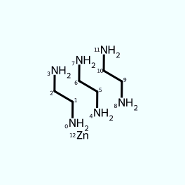 NCCN.NCCN.NCCN.[Zn]